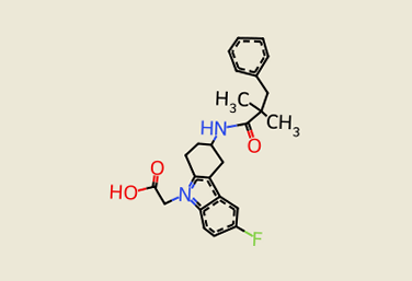 CC(C)(Cc1ccccc1)C(=O)NC1CCc2c(c3cc(F)ccc3n2CC(=O)O)C1